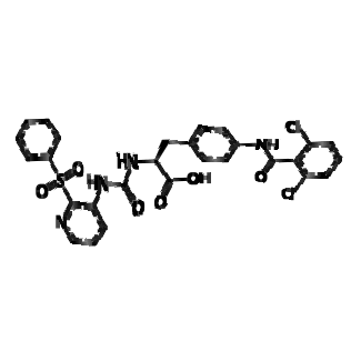 O=C(Nc1cccnc1S(=O)(=O)c1ccccc1)N[C@@H](Cc1ccc(NC(=O)c2c(Cl)cccc2Cl)cc1)C(=O)O